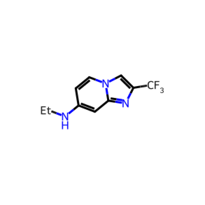 CCNc1ccn2cc(C(F)(F)F)nc2c1